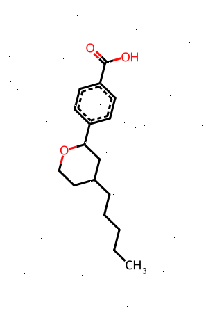 CCCCCC1CCOC(c2ccc(C(=O)O)cc2)C1